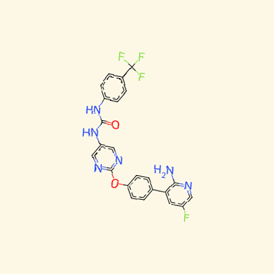 Nc1ncc(F)cc1-c1ccc(Oc2ncc(NC(=O)Nc3ccc(C(F)(F)F)cc3)cn2)cc1